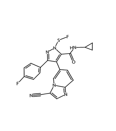 N#Cc1cnc2ccc(-c3c(-c4ccc(F)cc4)nn(SF)c3C(=O)NC3CC3)cn12